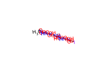 CC(=O)N(O)CCOCCNC(=O)CCC(=O)N(O)CCOCCNC(=O)CCC(=O)N(O)CCOCCNC(=O)COCN(O)C(=O)CCOCCI